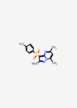 CSc1nn2c(C)cc(C)nc2c1S(=O)(=O)c1ccc(C)cc1